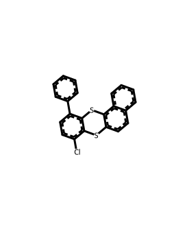 Clc1ccc(-c2ccccc2)c2c1Sc1ccc3ccccc3c1S2